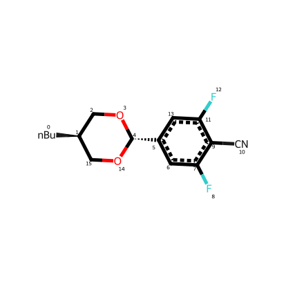 CCCC[C@H]1CO[C@H](c2cc(F)c(C#N)c(F)c2)OC1